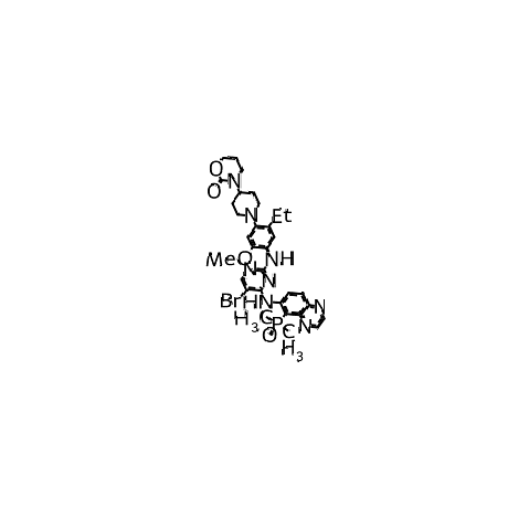 CCc1cc(Nc2ncc(Br)c(Nc3ccc4nccnc4c3P(C)(C)=O)n2)c(OC)cc1N1CCC(N2CCCOC2=O)CC1